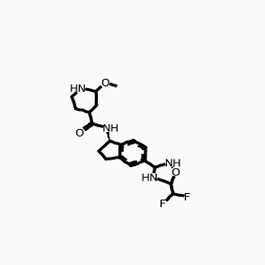 COC1CC(C(=O)N[C@@H]2CCc3cc(C4NOC(C(F)F)N4)ccc32)CCN1